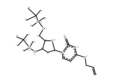 C=CCOc1ccn(C2CC(O[Si](C)(C)C(C)(C)C)C(CO[Si](C)(C)C(C)(C)C)O2)c(=O)n1